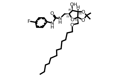 CCCCCCCCCCCCOC[C@@]12O[C@@H](CNC(=O)Nc3ccc(F)cc3)[C@@H](O)[C@@H]1OC(C)(C)O2